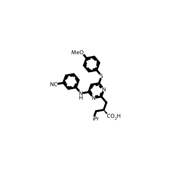 COc1ccc(Sc2cc(Nc3cccc(C#N)c3)nc(C[C@H](CC(C)C)C(=O)O)n2)cc1